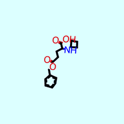 O=C(CCC(NC1CCC1)C(=O)O)OCc1ccccc1